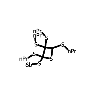 CCCSC1SC([S][Sb])(SCCC)C1(SCCC)SCCC